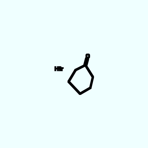 Br.O=C1CCCCC1